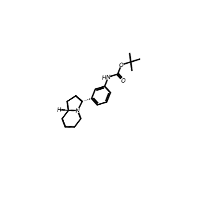 CC(C)(C)OC(=O)Nc1cccc([C@H]2CC[C@H]3CCCCN32)c1